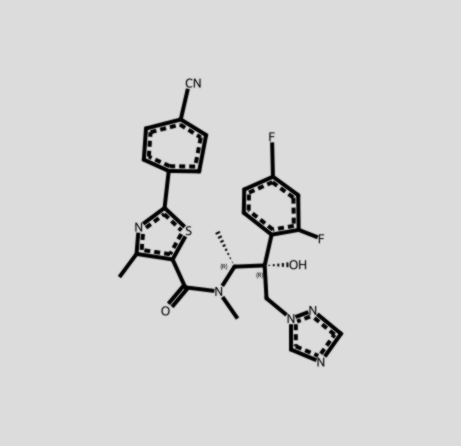 Cc1nc(-c2ccc(C#N)cc2)sc1C(=O)N(C)[C@H](C)[C@](O)(Cn1cncn1)c1ccc(F)cc1F